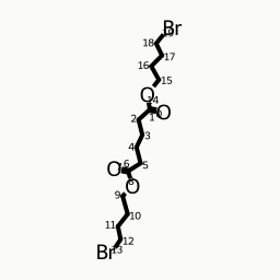 O=C(CCCCC(=O)OCCCCBr)OCCCCBr